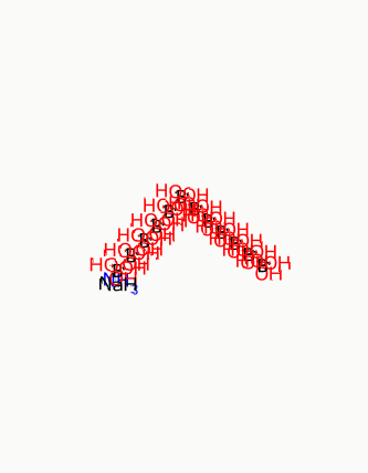 N.OB(O)O.OB(O)O.OB(O)O.OB(O)O.OB(O)O.OB(O)O.OB(O)O.OB(O)O.OB(O)O.OB(O)O.OB(O)O.OB(O)O.[NaH]